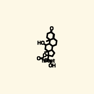 CCCCCC(=O)OC1(C(=O)CO)CCC2C3CCC4=CC(=O)CCC4(C)C3C(O)CC21C